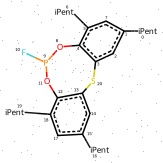 CCCC(C)c1cc2c(c(C(C)CCC)c1)OP(F)Oc1c(cc(C(C)CCC)cc1C(C)CCC)S2